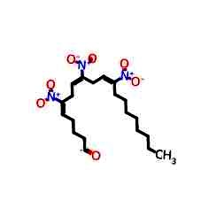 CCCCCCCC/C(=C\C/C(=C\C/C(=C\CCC[C]=O)[N+](=O)[O-])[N+](=O)[O-])[N+](=O)[O-]